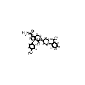 COc1ccc(-n2nc(C(N)=O)c3c2C(=O)N(C2CCN(c4ccccc4C=O)CC2)CC3)cc1